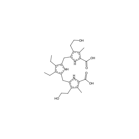 CCc1c(Cc2[nH]c(C(=O)O)c(C)c2CCO)[nH]c(Cc2[nH]c(C(=O)O)c(C)c2CCO)c1CC